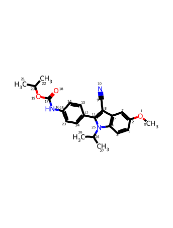 COc1ccc2c(c1)c(C#N)c(-c1ccc(NC(=O)OC(C)C)cc1)n2C(C)C